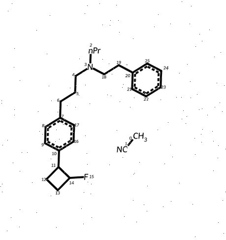 CC#N.CCCN(CCCc1ccc(C2CCC2F)cc1)CCc1ccccc1